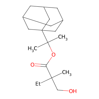 CCC(C)(CO)C(=O)OC(C)(C)C12CC3CC(CC(C3)C1)C2